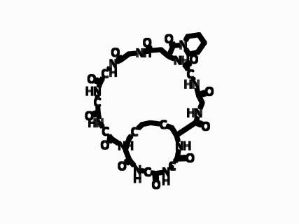 O=C1CNC(=O)CNC(=O)CC(C(=O)N2CCCCC2)NC(=O)CNC(=O)CNC(=O)C2CCCCCCC(NC(=O)CNC(=O)CN1)C(=O)NCC(=O)NCC(=O)N2